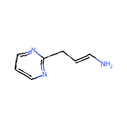 NC=CCc1ncccn1